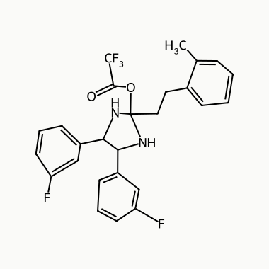 Cc1ccccc1CCC1(OC(=O)C(F)(F)F)NC(c2cccc(F)c2)C(c2cccc(F)c2)N1